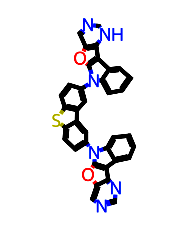 C1=NCNc2c1oc1c2c2ccccc2n1-c1ccc2sc3ccc(-n4c5ccccc5c5c6ncncc6oc54)cc3c2c1